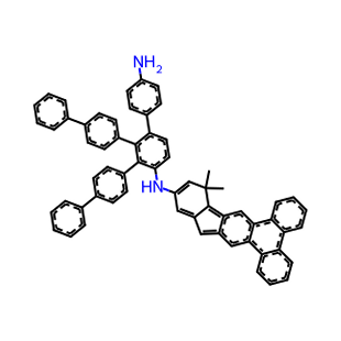 CC1(C)C=C(Nc2ccc(-c3ccc(N)cc3)c(-c3ccc(-c4ccccc4)cc3)c2-c2ccc(-c3ccccc3)cc2)C=C2C=c3cc4c5ccccc5c5ccccc5c4cc3=C21